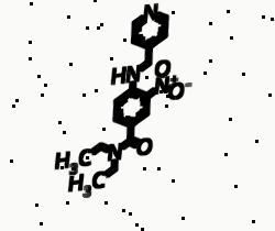 CCN(CC)C(=O)c1ccc(NCc2ccncc2)c([N+](=O)[O-])c1